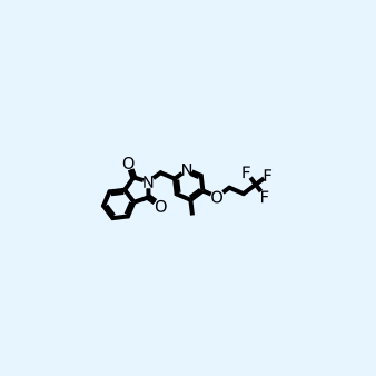 Cc1cc(CN2C(=O)c3ccccc3C2=O)ncc1OCCC(F)(F)F